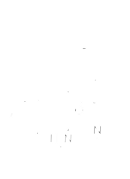 C(=Cc1ccccc1)c1ccccc1.Nc1ncco1